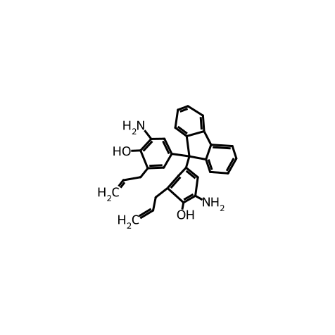 C=CCc1cc(C2(c3cc(N)c(O)c(CC=C)c3)c3ccccc3-c3ccccc32)cc(N)c1O